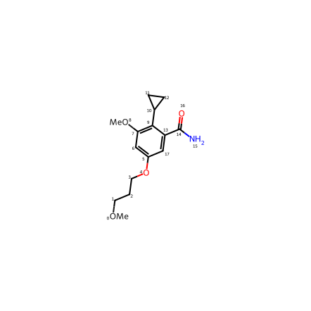 COCCCOc1cc(OC)c(C2CC2)c(C(N)=O)c1